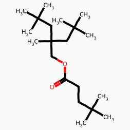 CC(C)(C)CCC(=O)OCC(C)(CC(C)(C)C)CC(C)(C)C